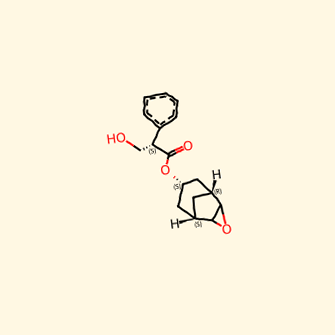 O=C(O[C@H]1C[C@@H]2C[C@H](C1)C1OC12)[C@H](CO)c1ccccc1